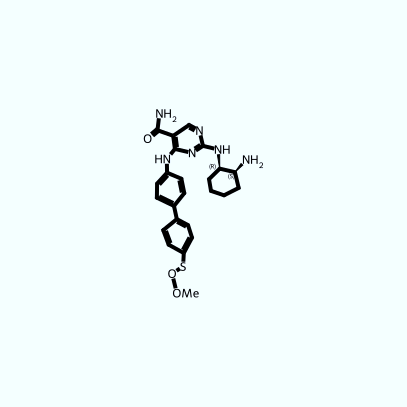 COOSc1ccc(-c2ccc(Nc3nc(N[C@@H]4CCCC[C@@H]4N)ncc3C(N)=O)cc2)cc1